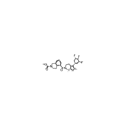 C[C@H]1c2nn(C)c(-c3cc(F)c(F)c(F)c3)c2CCN1C(=O)c1cccc2c1CCN(C(=O)O)C2